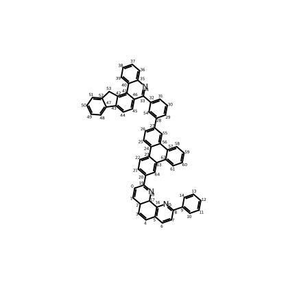 C1=CC2C=Cc3ccc(-c4ccccc4)nc3C2N=C1c1ccc2c3ccc(-c4cccc(-c5nc6ccccc6c6c7c(ccc56)-c5ccccc5C7)c4)cc3c3ccccc3c2c1